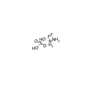 NF.NF.O=S(=O)(O)O